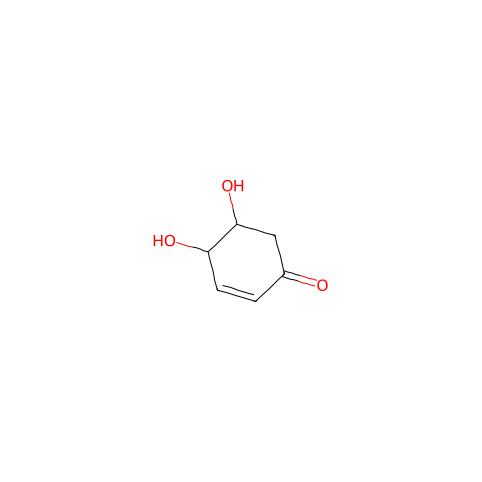 O=C1C=CC(O)C(O)C1